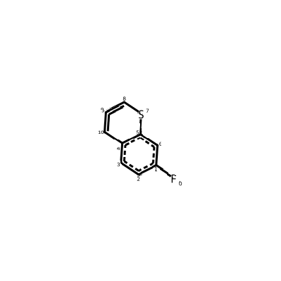 Fc1ccc2c(c1)SC=C=C2